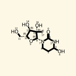 O=C1NC(O)CCN1[C@@H]1O[C@H](CO)[C@@H](O)[C@@]1(O)F